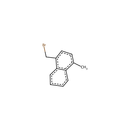 Cc1ccc(CBr)c2ccccc12